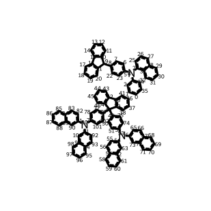 c1ccc(N(c2ccc(C3c4ccccc4-c4ccccc43)cc2)c2cccc3ccccc23)cc1.c1ccc2c(c1)-c1ccccc1C2(c1ccc(N(c2ccc3ccccc3c2)c2ccc3ccccc3c2)cc1)c1ccc(N(c2ccc3ccccc3c2)c2ccc3ccccc3c2)cc1